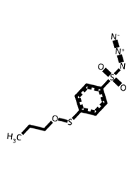 CCCOSc1ccc(S(=O)(=O)N=[N+]=[N-])cc1